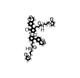 O=C(/C=C/c1ccc(Sc2ccc(/C=C/C(=O)NCCCN3CCCC3=O)c(-c3ccc4c(c3)CCOO4)c2Cl)c(Cl)c1-c1ccc2c(c1)CCOO2)NCCCN1CCCC1=O